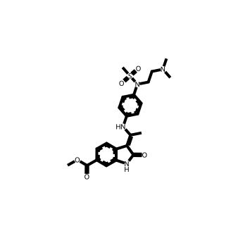 COC(=O)c1ccc2c(c1)NC(=O)C2=C(C)Nc1ccc(N(CCN(C)C)S(C)(=O)=O)cc1